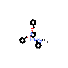 Cn1nc(Nc2ccc(OCc3ccccc3)nc2OCc2ccccc2)c2ccccc21